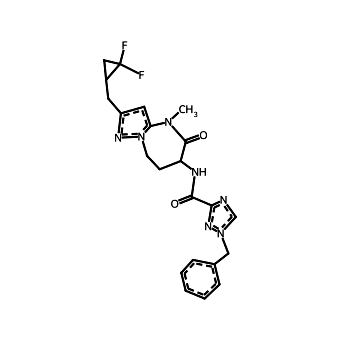 CN1C(=O)C(NC(=O)c2ncn(Cc3ccccc3)n2)CCn2nc(CC3CC3(F)F)cc21